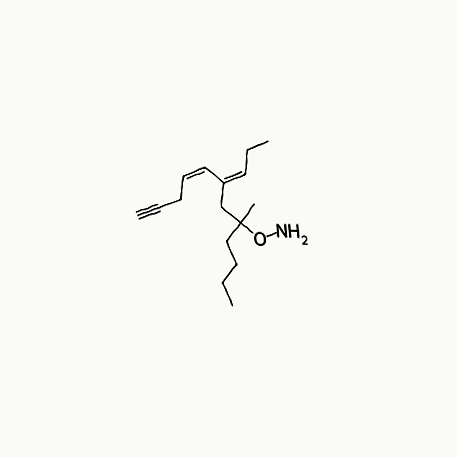 C#CC/C=C\C(=C/CC)CC(C)(CCCC)ON